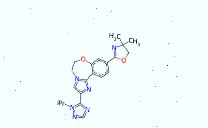 CC(C)n1ncnc1-c1cn2c(n1)-c1ccc(C3=NC(C)(C)CO3)cc1OCC2